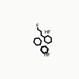 C1CCCCC1.F.F.FCCCC1CCCCC1.c1ccccc1